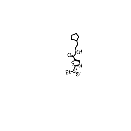 CC[S+]([O-])c1ncc(C(=O)NCCC2CCCC2)s1